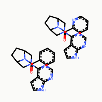 O=C(c1ccccc1)N1C2CCC1CN(c1ncnc3[nH]ccc13)C2.O=C(c1ccccn1)N1C2CCC1CN(c1ncnc3[nH]ccc13)C2